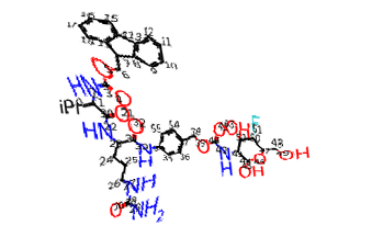 CC(C)C(NC(=O)OCC1c2ccccc2-c2ccccc21)C(=O)NC(CCCNC(N)=O)C(=O)Nc1ccc(COC(=O)N[C@H]2C(O)O[C@H](CO)[C@@H](F)[C@@H]2O)cc1